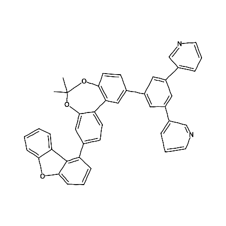 CC1(C)Oc2cc(-c3cccc4oc5ccccc5c34)ccc2-c2cc(-c3cc(-c4cccnc4)cc(-c4cccnc4)c3)ccc2O1